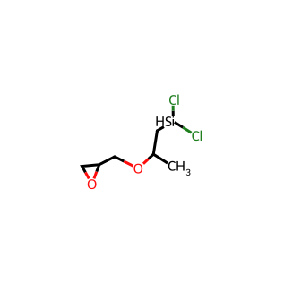 CC(C[SiH](Cl)Cl)OCC1CO1